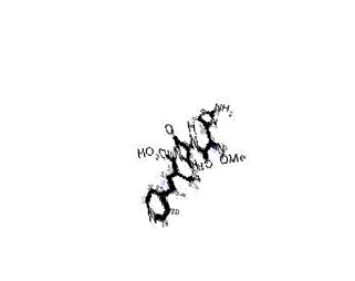 CO/N=C(\C(=O)N[C@@H]1C(=O)N2C(C(=O)O)=C(/C=C/c3ccncc3)CS[C@H]12)c1csc(N)n1